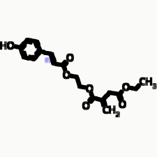 C=C(CC(=O)OCC)C(=O)OCCOC(=O)/C=C/c1ccc(O)cc1